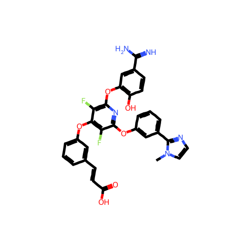 Cn1ccnc1-c1cccc(Oc2nc(Oc3cc(C(=N)N)ccc3O)c(F)c(Oc3cccc(C=CC(=O)O)c3)c2F)c1